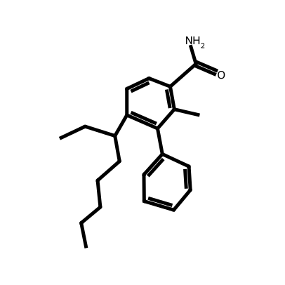 CCCCCC(CC)c1ccc(C(N)=O)c(C)c1-c1ccccc1